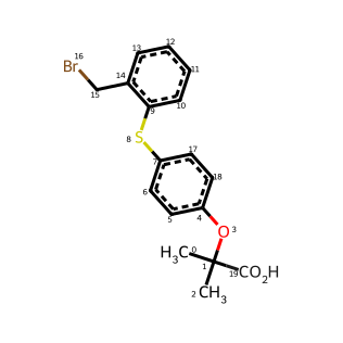 CC(C)(Oc1ccc(Sc2ccccc2CBr)cc1)C(=O)O